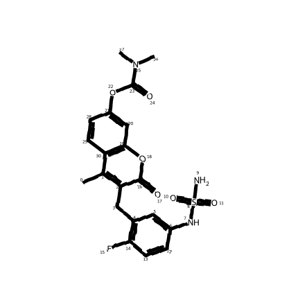 Cc1c(Cc2cc(NS(N)(=O)=O)ccc2F)c(=O)oc2cc(OC(=O)N(C)C)ccc12